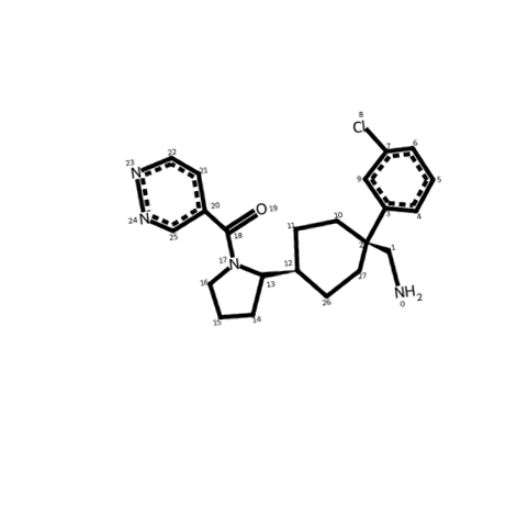 NC[C@]1(c2cccc(Cl)c2)CC[C@H](C2CCCN2C(=O)c2ccnnc2)CC1